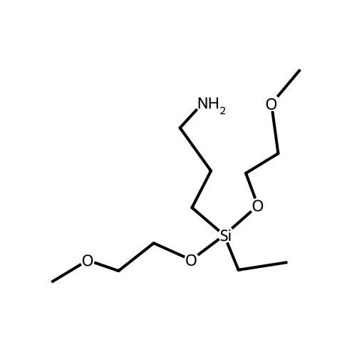 CC[Si](CCCN)(OCCOC)OCCOC